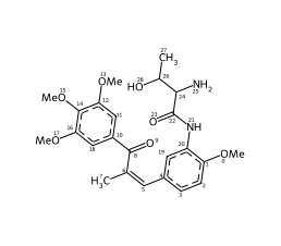 COc1ccc(C=C(C)C(=O)c2cc(OC)c(OC)c(OC)c2)cc1NC(=O)C(N)C(C)O